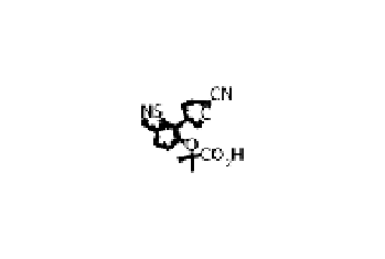 CC(C)(Oc1ccc2cnsc2c1-c1ccc(C#N)cc1)C(=O)O